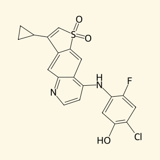 O=S1(=O)C=C(C2CC2)c2cc3nccc(Nc4cc(O)c(Cl)cc4F)c3cc21